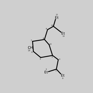 CCC(CC)CC1CCCC(CC(CC)CC)C1.[CH]